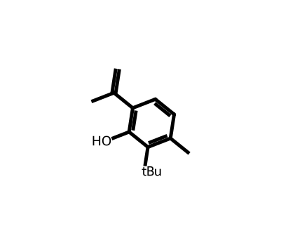 C=C(C)c1ccc(C)c(C(C)(C)C)c1O